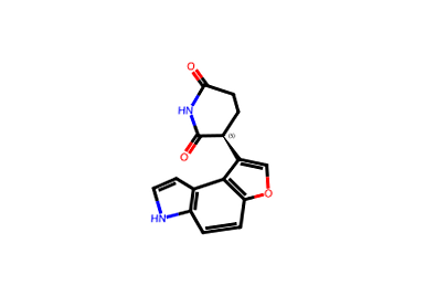 O=C1CC[C@@H](c2coc3ccc4[nH]ccc4c23)C(=O)N1